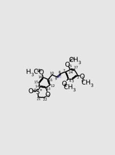 COc1cc(OC)c(/C=C/Cc2cc3c(cc2OC)[S+]([O-])CCO3)c(OC)c1